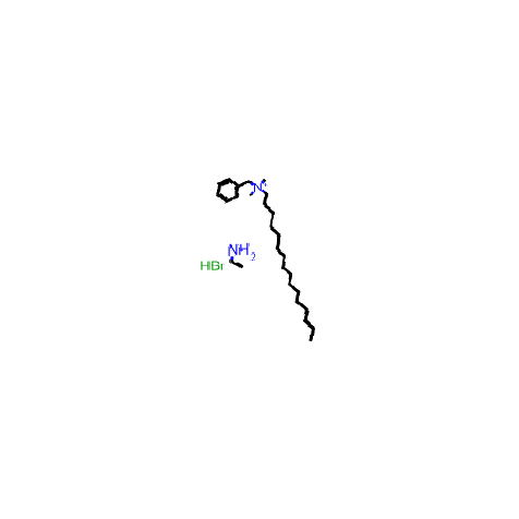 Br.CCCCCCCCCCCCCCCC[N+](C)(C)Cc1ccccc1.CCN